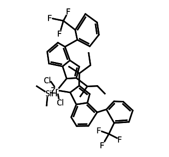 CCC(C)C1=Cc2c(-c3ccccc3C(F)(F)F)cccc2[CH]1[Zr]([Cl])([Cl])([CH]1C(C(C)CC)=Cc2c(-c3ccccc3C(F)(F)F)cccc21)[SiH](C)C